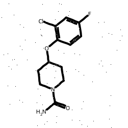 NC(=O)N1CCC(Oc2ccc(F)cc2Cl)CC1